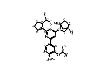 Nc1ncc(-c2cc(N3C[C@@H]4C[C@H]3CO4)nc(N3CCC[C@H]3C(F)F)n2)cc1OC(F)F